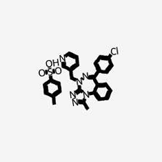 Cc1ccc(S(=O)(=O)O)cc1.Cc1nnc2n1-c1ccccc1C(c1ccc(Cl)cc1)=NN2Cc1cccnc1